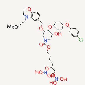 COCCCN1CCOc2ccc(COC3CN(C(=O)OCCCCC(CON(O)O)ON(O)O)CC(O)C3OC3CCC(Oc4ccc(Cl)cc4)CC3)cc21